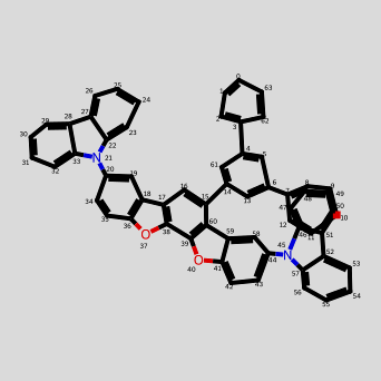 c1ccc(-c2cc(-c3ccccc3)cc(-c3cc4c5cc(-n6c7ccccc7c7ccccc76)ccc5oc4c4oc5ccc(-n6c7ccccc7c7ccccc76)cc5c34)c2)cc1